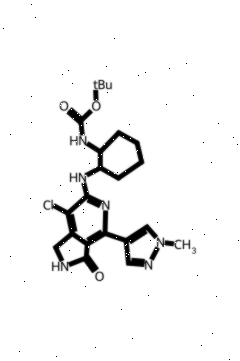 Cn1cc(-c2nc(NC3CCCCC3NC(=O)OC(C)(C)C)c(Cl)c3c2C(=O)NC3)cn1